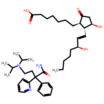 CC(C)N(CCC(C(N)=O)(c1ccccc1)c1ccccn1)C(C)C.CCCCC[C@H](O)/C=C/[C@H]1[C@H](O)CC(=O)[C@@H]1CCCCCCC(=O)O